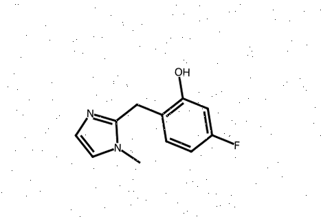 Cn1ccnc1Cc1ccc(F)cc1O